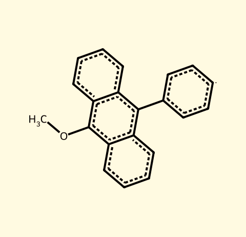 COc1c2ccccc2c(-c2cc[c]cc2)c2ccccc12